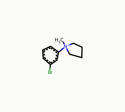 C[N+]1(c2cccc(Br)c2)CCCC1